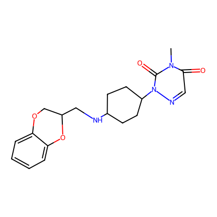 Cn1c(=O)cnn(C2CCC(NCC3COc4ccccc4O3)CC2)c1=O